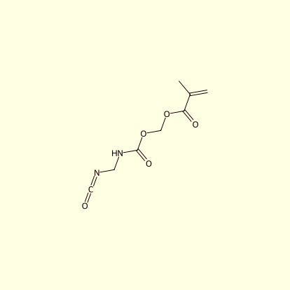 C=C(C)C(=O)OCOC(=O)NCN=C=O